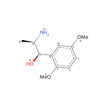 COc1ccc(OC)c([C@@H](O)[C@@H](C)N)c1